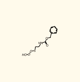 O=C(NCCSOOO)OCc1ccccc1